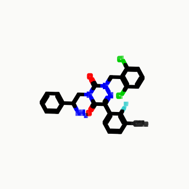 COc1cccc(-c2nn(Cc3c(Cl)cccc3Cl)c(=O)n(CC(N)c3ccccc3)c2=O)c1F